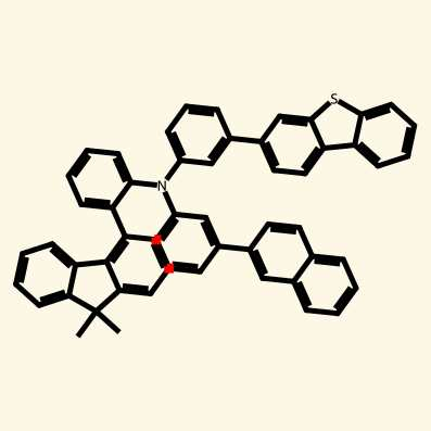 CC1(C)c2ccccc2-c2c(-c3ccccc3N(c3cccc(-c4ccc5ccccc5c4)c3)c3cccc(-c4ccc5c(c4)sc4ccccc45)c3)cccc21